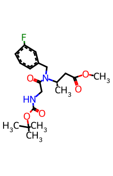 COC(=O)C[C@@H](C)N(Cc1cccc(F)c1)C(=O)CNC(=O)OC(C)(C)C